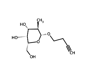 C#CCCO[C@@H]1O[C@H](CO)[C@H](O)[C@H](O)[C@H]1C